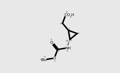 CC(C)(C)OC(=O)N[C@H]1CC1CC(=O)O